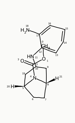 COC(=O)N1[C@@H]2CC[C@H]1CC(Nc1ccccc1N)C2